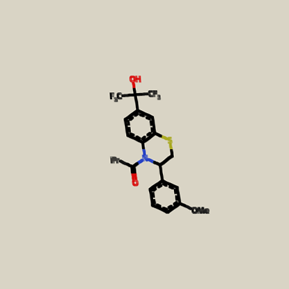 COc1cccc(C2CSc3cc(C(O)(C(F)(F)F)C(F)(F)F)ccc3N2C(=O)C(C)C)c1